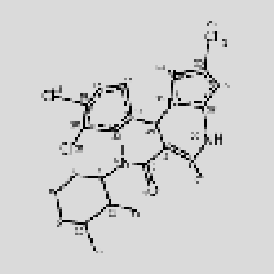 CC1=C(C(=O)NC2CCCC(C)C2C)C(c2ccc(Cl)c(Cl)c2)n2nc(C(F)(F)F)cc2N1